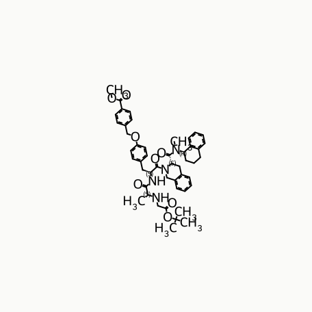 COC(=O)c1ccc(COc2ccc(C[C@H](NC(=O)[C@H](C)NCC(=O)OC(C)(C)C)C(=O)N3Cc4ccccc4C[C@H]3C(=O)N(C)[C@@H]3CCCc4ccccc43)cc2)cc1